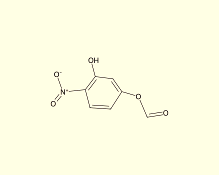 O=COc1ccc([N+](=O)[O-])c(O)c1